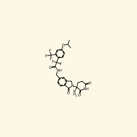 BC1(N2Cc3cc(CNC(=O)C(F)(F)c4ccc(OC(C)C)cc4C(F)(F)F)ccc3C2=O)CCC(=O)NC1=O